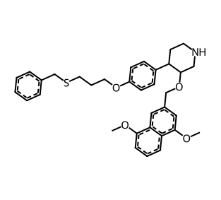 COc1cc(COC2CNCCC2c2ccc(OCCCSCc3ccccc3)cc2)cc2c(OC)cccc12